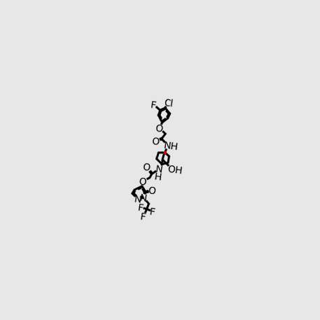 O=C(COc1ccc(Cl)c(F)c1)NC12CCC(NC(=O)COc3ccnn(CC(F)(F)F)c3=O)(CC1)C(O)C2